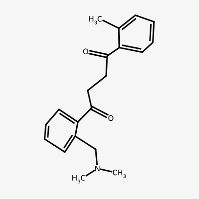 Cc1ccccc1C(=O)CCC(=O)c1ccccc1CN(C)C